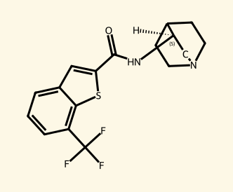 O=C(N[C@@H]1CN2CCC1CC2)c1cc2cccc(C(F)(F)F)c2s1